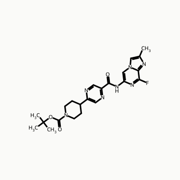 Cc1cn2cc(NC(=O)c3cnc(C4CCN(C(=O)OC(C)(C)C)CC4)cn3)nc(F)c2n1